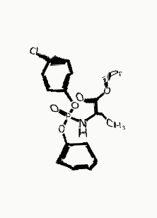 CC(C)OC(=O)C(C)NP(=O)(Oc1ccccc1)Oc1ccc(Cl)cc1